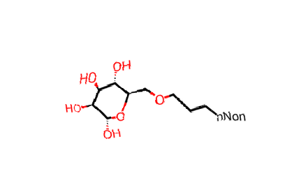 CCCCCCCCCCCCOC[C@H]1O[C@H](O)[C@@H](O)[C@@H](O)[C@@H]1O